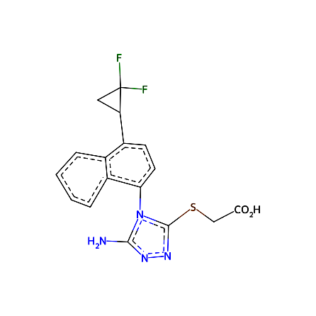 Nc1nnc(SCC(=O)O)n1-c1ccc(C2CC2(F)F)c2ccccc12